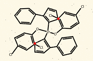 Clc1ccc([O][Zr]([O]c2ccc(Cl)cc2Cl)([C]2=C(c3ccccc3)C=CC2)[C]2=C(c3ccccc3)C=CC2)c(Cl)c1